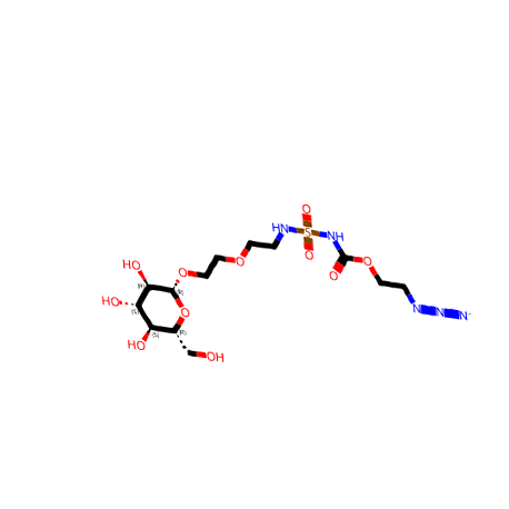 [N-]=[N+]=NCCOC(=O)NS(=O)(=O)NCCOCCO[C@@H]1O[C@H](CO)[C@@H](O)[C@H](O)[C@H]1O